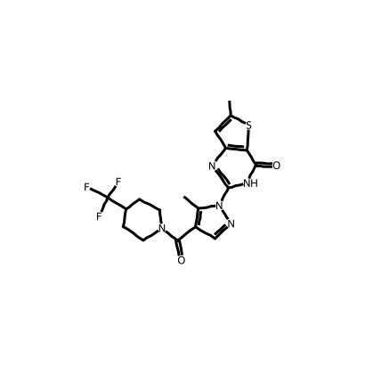 Cc1cc2nc(-n3ncc(C(=O)N4CCC(C(F)(F)F)CC4)c3C)[nH]c(=O)c2s1